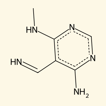 CNc1ncnc(N)c1C=N